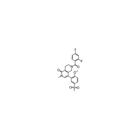 COc1ccc(S(C)(=O)=O)cc1-c1cn(C)c(=O)c2c1CN(C(=O)c1ccc(F)cc1F)CC2